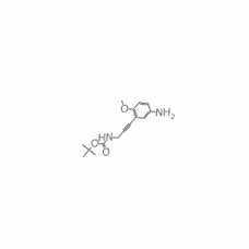 COc1ccc(N)cc1C#CCNC(=O)OC(C)(C)C